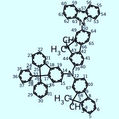 CC1(C)c2ccccc2-c2ccc(N(c3ccc4c(c3)-c3ccccc3C4(c3ccccc3)c3ccccc3)c3ccc4c(c3)C(C)(C)c3cc(-n5c6ccccc6c6ccccc65)ccc3-4)cc21